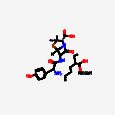 CC1(C)S[C@@H]2[C@H](NC(=O)[C@H](N)c3ccc(O)cc3)C(=O)N2[C@H]1C(=O)O.CCCCC(CC)C(=O)O.[NaH].[NaH]